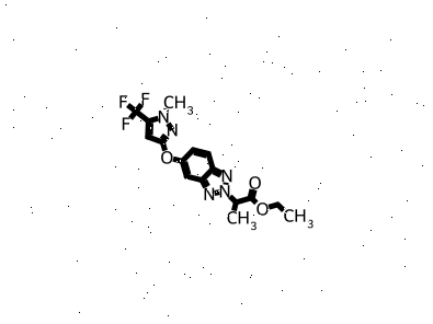 CCOC(=O)C(C)n1nc2ccc(Oc3cc(C(F)(F)F)n(C)n3)cc2n1